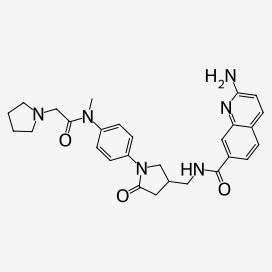 CN(C(=O)CN1CCCC1)c1ccc(N2CC(CNC(=O)c3ccc4ccc(N)nc4c3)CC2=O)cc1